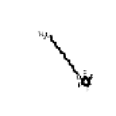 CCCCCCCCCCCCCCOc1c(F)c(F)cc(F)c1F